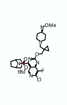 CON=C1CCN(CC2(COc3nc(N4CC5CCC(C4)N5C(=O)OC(C)(C)C)c4cnc(Cl)c(F)c4n3)CC2)CC1